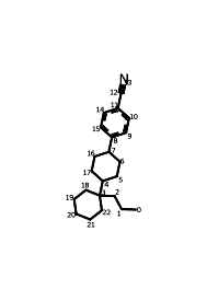 CCCC1(C2CCC(c3ccc(C#N)cc3)CC2)CCCCC1